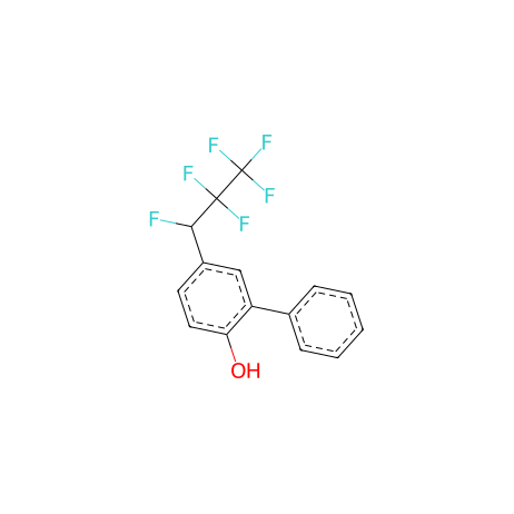 Oc1ccc(C(F)C(F)(F)C(F)(F)F)cc1-c1ccccc1